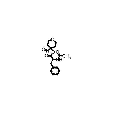 CC(=O)N[C@@H](Cc1ccccc1)C(=O)OC1(N=O)CCOCC1